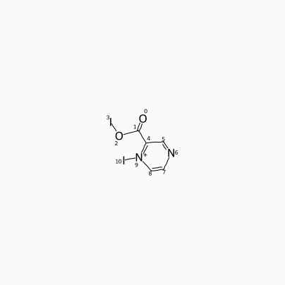 O=C(OI)c1cncc[n+]1I